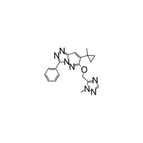 Cn1ncnc1COc1nn2c(-c3ccccc3)nnc2cc1C1(C)CC1